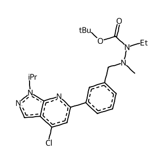 CCN(C(=O)OC(C)(C)C)N(C)Cc1cccc(-c2cc(Cl)c3cnn(C(C)C)c3n2)c1